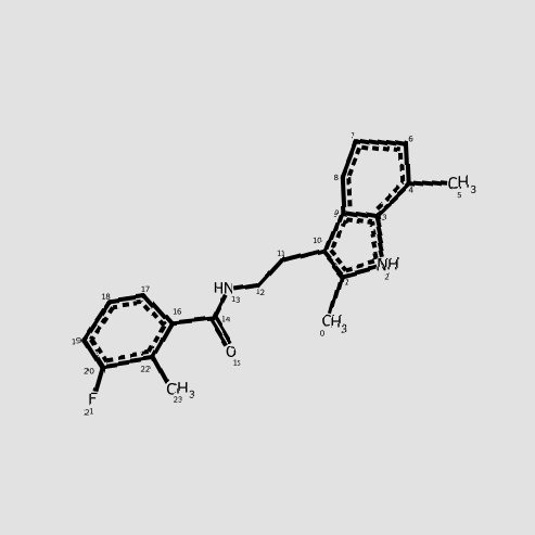 Cc1[nH]c2c(C)cccc2c1CCNC(=O)c1cccc(F)c1C